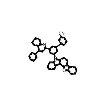 N#Cc1cccc(-c2cc(-c3cc(-c4ccccc4)c4ccccc4n3)cc(-n3c4ccccc4c4c5oc6ccccc6c5ccc43)c2)c1